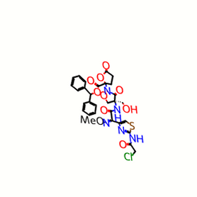 CO/N=C(\C(=O)N[C@@]1(CO)CON(C2(C(=O)OC(c3ccccc3)c3ccccc3)CCC(=O)O2)C1=O)c1csc(NC(=O)CCl)n1